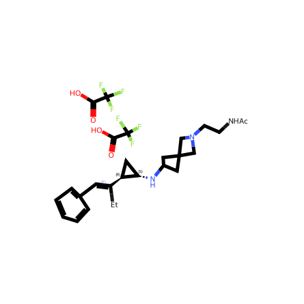 CC/C(=C\c1ccccc1)[C@H]1C[C@@H]1NC1CC2(C1)CN(CCNC(C)=O)C2.O=C(O)C(F)(F)F.O=C(O)C(F)(F)F